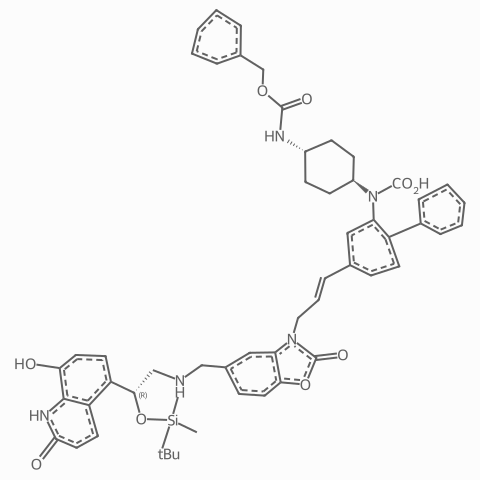 CC(C)(C)[Si](C)(C)O[C@@H](CNCc1ccc2oc(=O)n(CC=Cc3ccc(-c4ccccc4)c(N(C(=O)O)[C@H]4CC[C@H](NC(=O)OCc5ccccc5)CC4)c3)c2c1)c1ccc(O)c2[nH]c(=O)ccc12